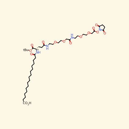 CC(C)(C)OC(=O)[C@H](CCC(=O)NCCOCCOCC(=O)NCCOCCOCC(=O)ON1C(=O)CCC1=O)NC(=O)CCCCCCCCCCCCCCCCC(=O)O